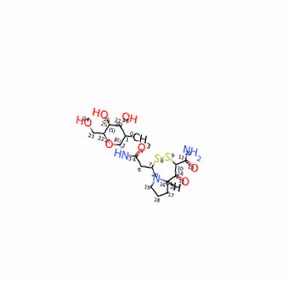 CC1[C@H](NC(=O)CC2SSC(C(N)=O)C(=O)[C@@H]3CCCN23)OC(CO)[C@@H](O)[C@@H]1O